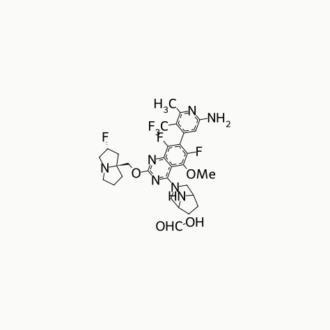 COc1c(F)c(-c2cc(N)nc(C)c2C(F)(F)F)c(F)c2nc(OC[C@@]34CCCN3C[C@H](F)C4)nc(N3CC4CCC(C3)N4)c12.O=CO